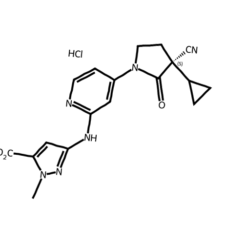 Cl.Cn1nc(Nc2cc(N3CC[C@@](C#N)(C4CC4)C3=O)ccn2)cc1C(=O)O